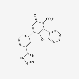 O=C(O)n1c(=O)cc(-c2cccc(-c3nnn[nH]3)c2)c2oc3ccccc3c21